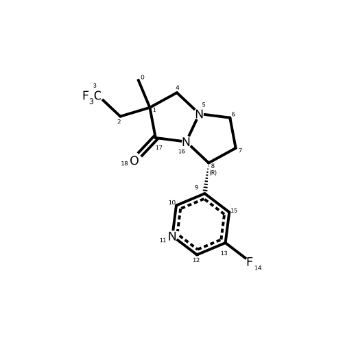 CC1(CC(F)(F)F)CN2CC[C@H](c3cncc(F)c3)N2C1=O